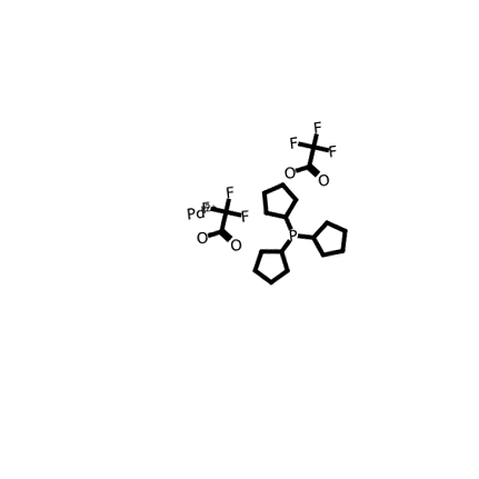 C1CCC(P(C2CCCC2)C2CCCC2)C1.O=C([O-])C(F)(F)F.O=C([O-])C(F)(F)F.[Pd+2]